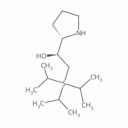 CC(C)S(C[C@@H](O)[C@@H]1CCCN1)(C(C)C)C(C)C